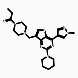 CCC(=O)N1CCN(Cc2csc3c(-c4cnn(C)c4)nc(N4CCCCC4)nc23)CC1